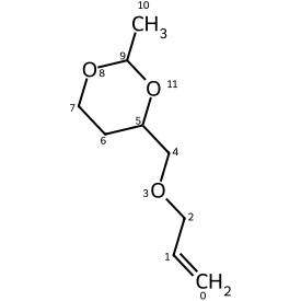 C=CCOCC1CCOC(C)O1